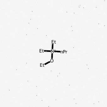 CCC[N+](CC)(CC)OCC